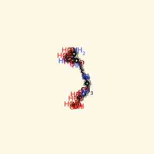 Cn1c(=O)n([C@@H]2O[C@H](COP(=O)(O)CP(=O)(O)O)C(O)C2O)cc/c1=N/OCc1ccc(-c2cn(CCCCCCNC(=O)c3ccc(C4=C5C=CC(=N)C(S(=O)(=O)O)C5Oc5c4ccc(N)c5S(=O)(=O)O)c(C(=O)O)c3)nn2)cc1